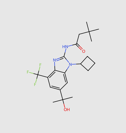 CC(C)(C)CC(=O)Nc1nc2c(C(F)(F)F)cc(C(C)(C)O)cc2n1C1CCC1